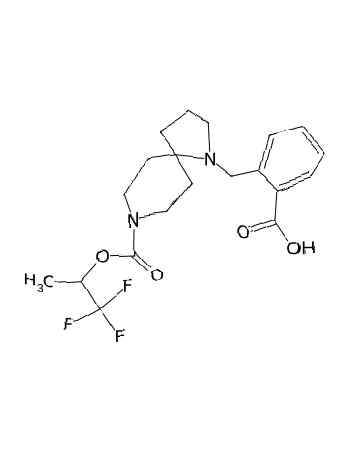 CC(OC(=O)N1CCC2(CCCN2Cc2ccccc2C(=O)O)CC1)C(F)(F)F